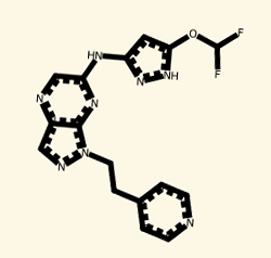 FC(F)Oc1cc(Nc2cnc3cnn(CCc4ccncc4)c3n2)n[nH]1